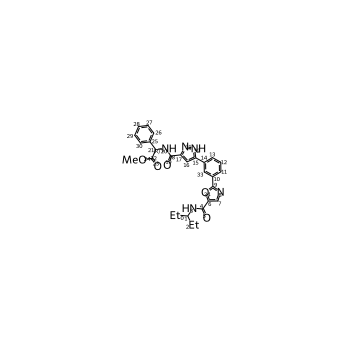 CCC(CC)NC(=O)c1cnc(-c2cccc(-c3cc(C(=O)N[C@@H](C(=O)OC)c4ccccc4)n[nH]3)c2)o1